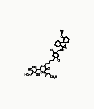 CN(CC(=O)O)CC(=O)N(CCCCc1cc(Cl)c(CNC2(c3cnccc3-c3ccccc3OC3CC3)CC2)cc1Cl)C[C@H](O)[C@@H](O)[C@H](O)[C@H](O)CO